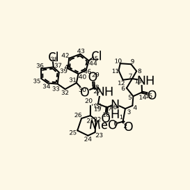 COC(=O)C(CC1CC2(CCCCC2)NC1=O)NC(=O)[C@H](CC1CCCCC1)NC(=O)OC(Cc1cccc(Cl)c1)c1cccc(Cl)c1